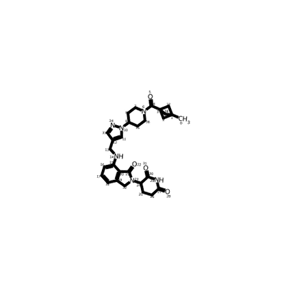 CC12CC(C(=O)N3CCC(n4cc(CNc5cccc6c5C(=O)N(C5CCC(=O)NC5=O)C6)cn4)CC3)(C1)C2